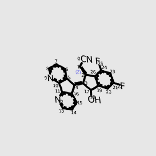 N#C/C=C1/C(=C2c3cccnc3-c3ncccc32)C(O)c2cc(F)cc(F)c21